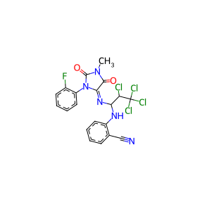 CN1C(=O)C(=NC(Nc2ccccc2C#N)C(Cl)C(Cl)(Cl)Cl)N(c2ccccc2F)C1=O